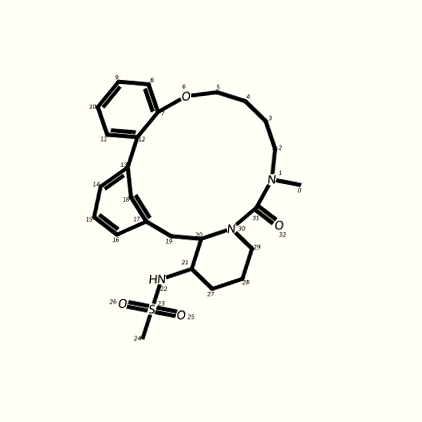 CN1CCCCOc2ccccc2-c2cccc(c2)CC2C(NS(C)(=O)=O)CCCN2C1=O